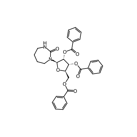 O=C(OC[C@H]1O[C@@H](N2CCCCNC2=O)[C@H](OC(=O)c2ccccc2)[C@@H]1OC(=O)c1ccccc1)c1ccccc1